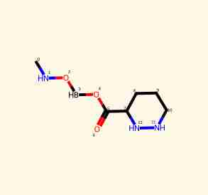 CNOBOC(=O)C1CCCNN1